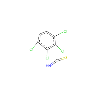 Clc1ccc(Cl)c(Cl)c1Cl.N=C=S